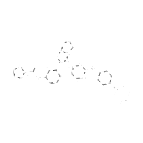 O=C(Nc1cccc(-c2nc3sccn3c2-c2ccnc(Nc3ccc(N4CCOCC4)cc3)n2)c1)c1ccc[nH]1